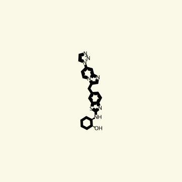 O[C@@H]1CCCC[C@H]1Nc1nc2ccc(Cc3cnc4cc(-n5ccnn5)ccn34)cc2s1